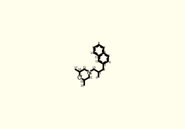 CC(Cc1ccc2ccccc2c1)CN1CC(C)OC(C)C1